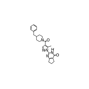 Cc1c(C(=O)N2CCC(Cc3ccccc3)CC2)cnn1-c1nc2c(c(=O)[nH]1)CCC2